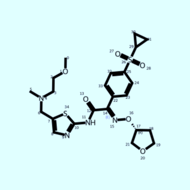 COCCN(C)Cc1cnc(NC(=O)/C(=N/O[C@@H]2CCOC2)c2ccc(S(=O)(=O)C3CC3)cc2)s1